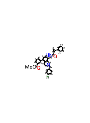 COC(=O)c1cccc(-c2ccc(CNC(=O)[C@H]3C[C@H]3c3ccccc3)c3c2CCN(Cc2ccc(F)cc2)C3)c1